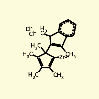 CC1=C(C)C(C)(C2=C(C)c3ccccc3C2C)[C]([Zr+2])=C1C.[Cl-].[Cl-]